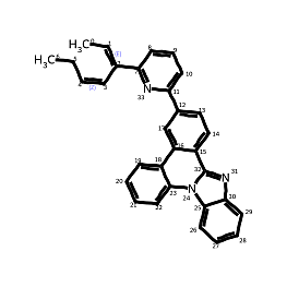 C/C=C(\C=C/CC)c1cccc(-c2ccc3c(c2)c2ccccc2n2c4ccccc4nc32)n1